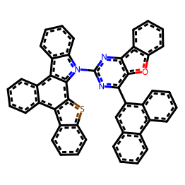 c1ccc2c(c1)cc(-c1nc(-n3c4ccccc4c4c5ccccc5c5c6ccccc6sc5c43)nc3c1oc1ccccc13)c1ccccc12